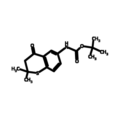 CC(C)(C)OC(=O)Nc1ccc2c(c1)C(=O)CC(C)(C)S2